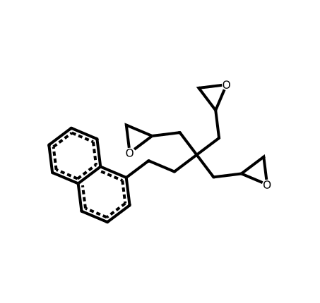 c1ccc2c(CCC(CC3CO3)(CC3CO3)CC3CO3)cccc2c1